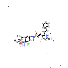 C#Cc1cc(CNC(=O)C=Cc2ccc(C(F)(F)F)nc2C=Cc2ccccc2)cc(F)c1NS(C)(=O)=O